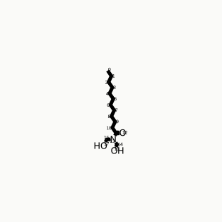 CCCCCCCCCCCC(=O)N(CO)CO